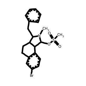 CN1C(Cc2ccccc2)C2CCc3cc(Br)ccc3C2C1OS(C)(=O)=O